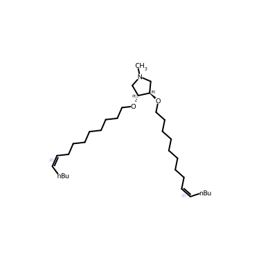 CCCC/C=C\CCCCCCCCO[C@@H]1CN(C)C[C@H]1OCCCCCCCC/C=C\CCCC